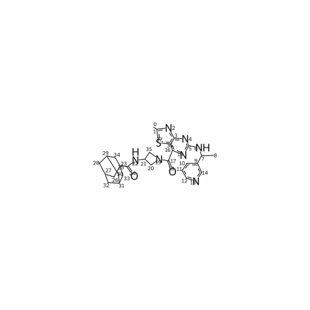 Cc1nc2nc(NC(C)c3cccnc3)nc(C(=O)N3CC(NC(=O)C45CC6CC(CC(C6)C4)C5)C3)c2s1